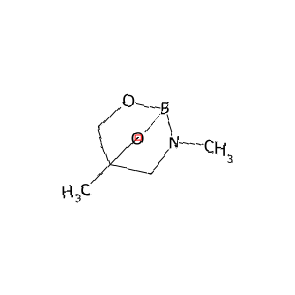 CN1CC2(C)COB1OC2